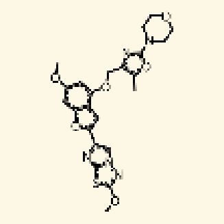 COc1cc(OCc2nc(N3CCOCC3)oc2C)c2cc(-c3cn4nc(OC)sc4n3)oc2c1